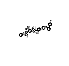 CN1CC(Nc2ccc(S(=O)(=O)Nc3ncnc4cc(N5CCN(Cc6ccccc6-c6ccc(Cl)cc6)CC5)ccc34)cc2[N+](=O)[O-])C(Sc2ccccc2)C1